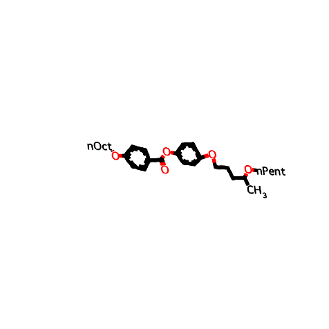 CCCCCCCCOc1ccc(C(=O)Oc2ccc(OCCCC(C)OCCCCC)cc2)cc1